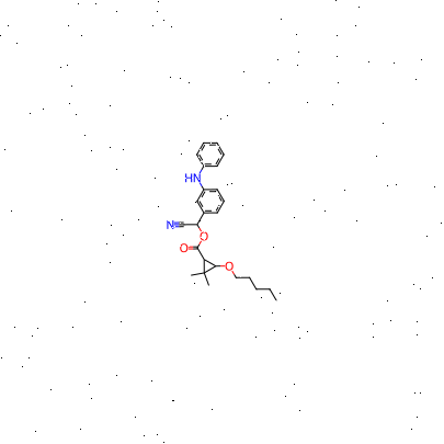 CCCCCOC1C(C(=O)OC(C#N)c2cccc(Nc3ccccc3)c2)C1(C)C